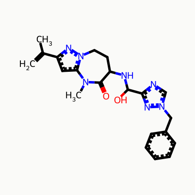 C=C(C)c1cc2n(n1)CCC(NC(O)c1ncn(Cc3ccccc3)n1)C(=O)N2C